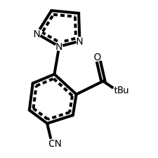 CC(C)(C)C(=O)c1cc(C#N)ccc1-n1nccn1